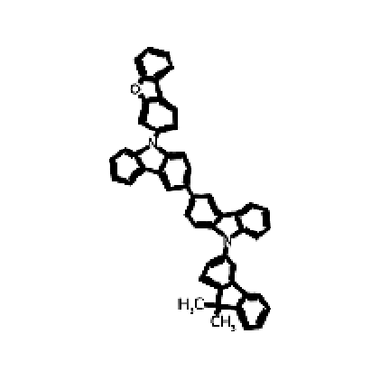 CC1(C)c2ccccc2-c2cc(-n3c4ccccc4c4cc(-c5ccc6c(c5)c5ccccc5n6-c5ccc6c(c5)oc5ccccc56)ccc43)ccc21